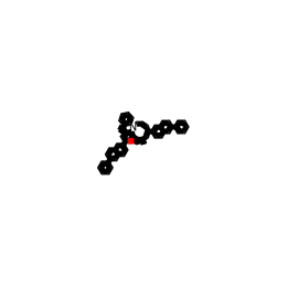 C=C1/C=C(C2=CC3C=CC(C4=CCCC=C4)=CC3C=C2)\C=C/CN2c3ccccc3C(C)(C)c3cc(C4=CC=C5C=C(c6ccccc6)C=CC5C4)cc(c32)C1(C)C